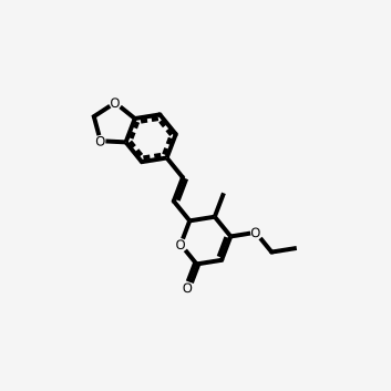 CCOC1=CC(=O)OC(C=Cc2ccc3c(c2)OCO3)C1C